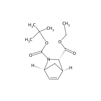 CCOC(=O)[C@@H]1[C@H]2C=C[C@H](C2)N1C(=O)OC(C)(C)C